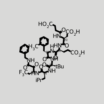 Cc1ccccc1C[C@H](NC(=O)[C@H](CCC(=O)O)NC(=O)[C@H](CC(=O)O)NC(=O)CCC(=O)O)C(=O)N[C@H](C(=O)N[C@@H](CC(C)C)C(=O)N[C@@H](CC(F)(F)F)C(=O)C(=O)NCc1ccccc1)C(C)(C)C